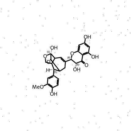 COc1cc([C@@H]2C3CC([C@H]4Oc5cc(O)cc(O)c5C(=O)[C@@H]4O)=CC4C2CO[C@]4(O)C3=O)ccc1O